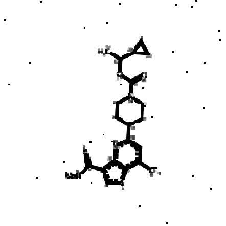 CNC(=O)c1csc2c(C(F)(F)F)cc(C3CCN(C(=O)OC(C)C4CC4)CC3)nc12